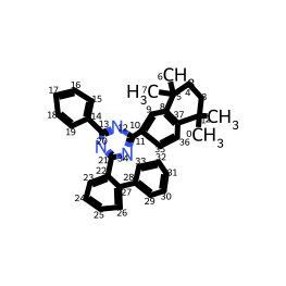 CC1(C)CCC(C)(C)c2cc(-c3nc(-c4ccccc4)nc(-c4ccccc4-c4ccccc4)n3)ccc21